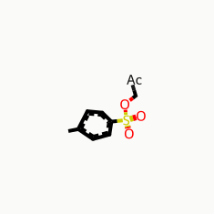 CC(=O)COS(=O)(=O)c1ccc(C)cc1